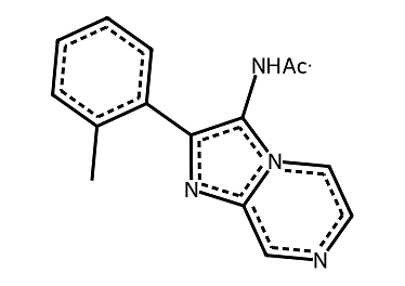 CC(=O)[N]c1c(-c2ccccc2C)nc2cnccn12